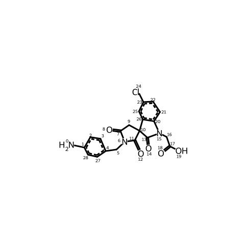 Nc1ccc(CN2C(=O)CC3(C2=O)C(=O)N(CC(=O)O)c2ccc(Cl)cc23)cc1